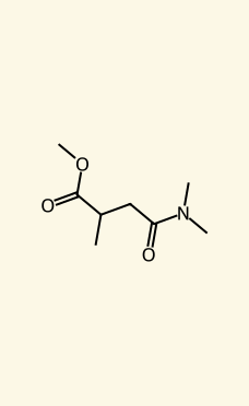 COC(=O)C(C)CC(=O)N(C)C